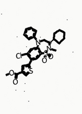 COC(=O)c1csc(-c2cc3c(cc2Cl)N(c2ccccc2)C[C@@H](C2CCCCC2)N(C)S3(=O)=O)c1